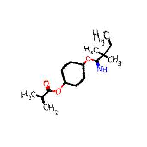 C=C(C)C(=O)OC1CCC(OC(=N)C(C)(C)CC)CC1